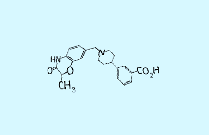 CC1Oc2cc(CN3CCC(c4cccc(C(=O)O)c4)CC3)ccc2NC1=O